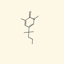 CCCC(C)(C)c1cc(C)c(=O)n(C)c1